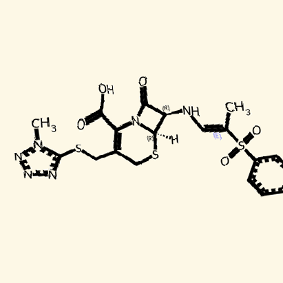 C/C(=C\N[C@@H]1C(=O)N2C(C(=O)O)=C(CSc3nnnn3C)CS[C@H]12)S(=O)(=O)c1ccccc1